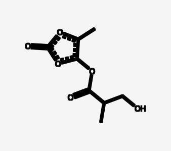 Cc1oc(=O)oc1OC(=O)C(C)CO